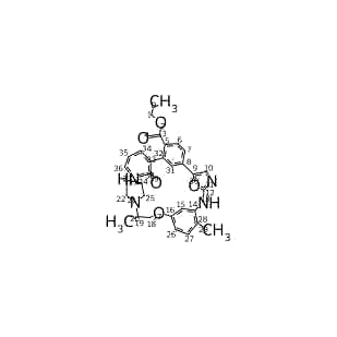 CCOC(=O)c1ccc(-c2cnc(Nc3cc(OCC(C)N4CCCC4)ccc3C)o2)cc1-c1ccc[nH]c1=O